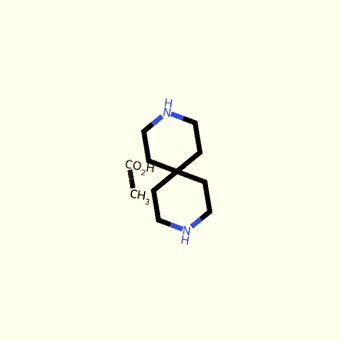 C1CC2(CCN1)CCNCC2.CC(=O)O